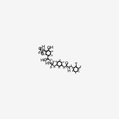 Cc1cccc(CNC(=O)Cc2cccc(CC(C)(C)NC[C@@H](O)c3ccc(O)c(NS(C)(=O)=O)c3)c2)c1C